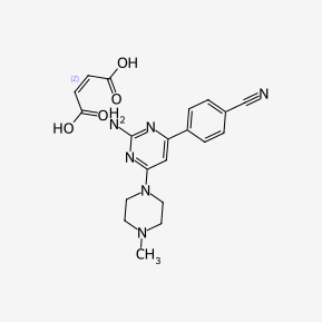 CN1CCN(c2cc(-c3ccc(C#N)cc3)nc(N)n2)CC1.O=C(O)/C=C\C(=O)O